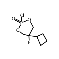 O=P1(Cl)OCC(F)(C2CCC2)CO1